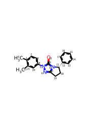 Cc1ccc(-n2nc3n(c2=O)[C@H](c2ccccc2)CC3)cc1C